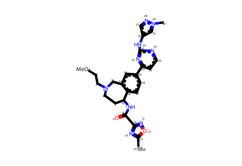 COCCN1CCC(NC(=O)c2noc(C(C)(C)C)n2)c2ccc(-c3ccnc(Nc4cnn(C)c4)n3)cc2C1